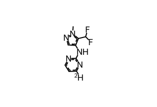 [2H]c1ccnc(Nc2cnn(C)c2C(F)F)n1